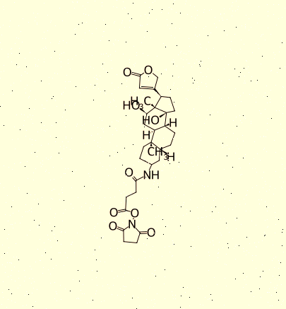 C[C@]12CCC(NC(=O)CCC(=O)ON3C(=O)CCC3=O)C[C@H]1CC[C@@H]1[C@@H]2C[C@@H](O)[C@]2(C)[C@@H](C3=CC(=O)OC3)CC[C@]12O